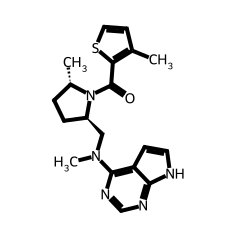 Cc1ccsc1C(=O)N1[C@@H](CN(C)c2ncnc3[nH]ccc23)CC[C@@H]1C